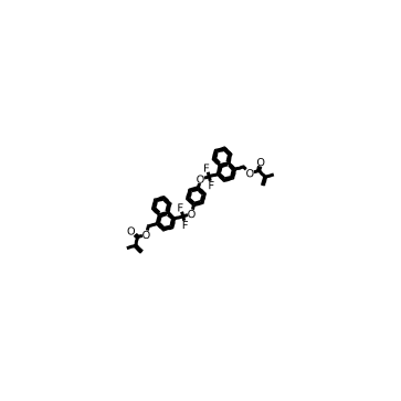 C=C(C)C(=O)OCc1ccc(C(F)(F)Oc2ccc(OC(F)(F)c3ccc(COC(=O)C(=C)C)c4ccccc34)cc2)c2ccccc12